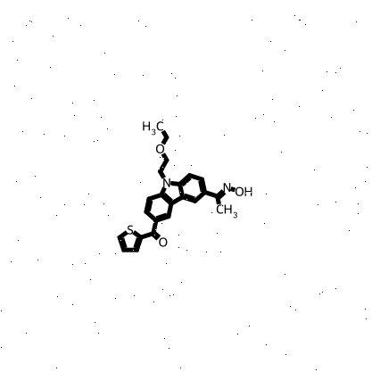 CCOCCn1c2ccc(C(=O)c3cccs3)cc2c2cc(C(C)=NO)ccc21